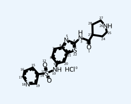 Cl.O=C(Nc1nc2ccc(NS(=O)(=O)c3cccnc3)cc2s1)C1CCNCC1